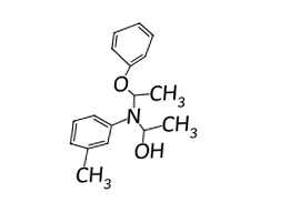 Cc1cccc(N(C(C)O)C(C)Oc2ccccc2)c1